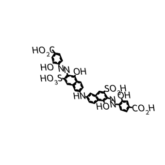 O=C(O)c1ccc(N=Nc2c(S(=O)(=O)O)cc3cc(Nc4ccc5c(O)c(N=Nc6ccc(C(=O)O)cc6O)c(S(=O)(=O)O)cc5c4)ccc3c2O)c(O)c1